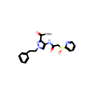 COC(=O)c1nn(CCc2ccccc2)cc1NC(=O)C[S+]([O-])c1ccccn1